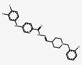 O=C(NN=CC1CCN(Cc2ccccc2Cl)CC1)c1ccc(Nc2ccc(F)c(F)c2)cn1